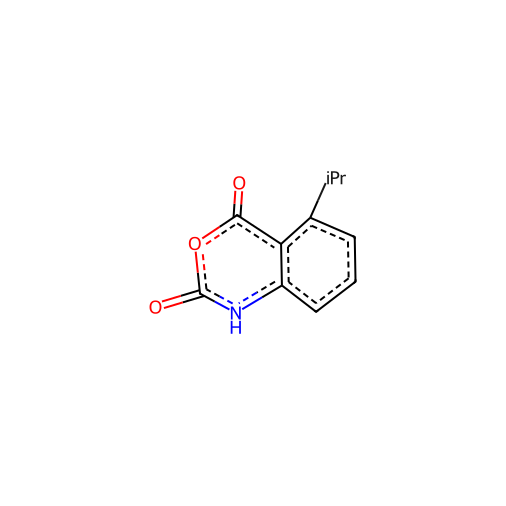 CC(C)c1cccc2[nH]c(=O)oc(=O)c12